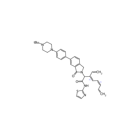 C=C/C=C\C=C(/C=C)C(C(=O)Nc1nccs1)N1Cc2ccc(-c3ccc(N4CCN(C(C)(C)C)CC4)cc3)cc2C1=O